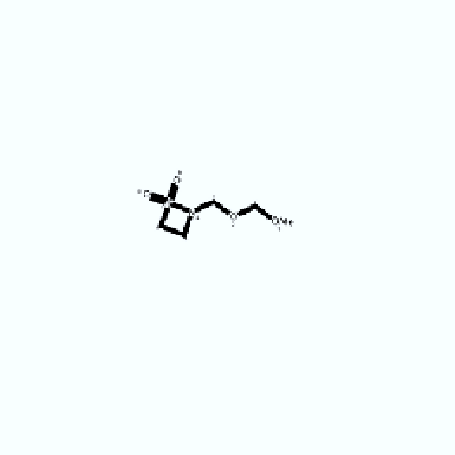 COCOCN1CCS1(=O)=O